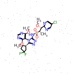 COc1ncnc(OC)c1-n1c(NS(=O)(=O)[C@@H](C)[C@H](OC)c2ncc(Cl)cn2)nnc1[C@@H]1CCC(F)(F)C1